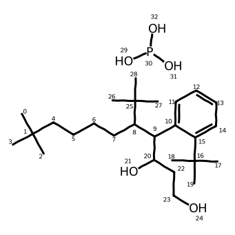 CC(C)(C)CCCCC(C(c1ccccc1C(C)(C)C)C(O)CCO)C(C)(C)C.OP(O)O